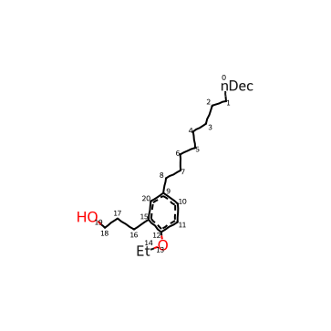 CCCCCCCCCCCCCCCCCCc1ccc(OCC)c(CCCO)c1